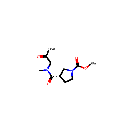 COC(=O)CN(C)C(=O)[C@H]1CCN(C(=O)OC(C)(C)C)C1